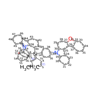 C=C/C=C(\C=C/C)[Si](c1ccccc1)(c1ccc(-n2c3ccccc3c3c4c(ccc32)oc2ccccc24)cc1)c1cccc2c3ccccc3n(-c3ccccc3)c12